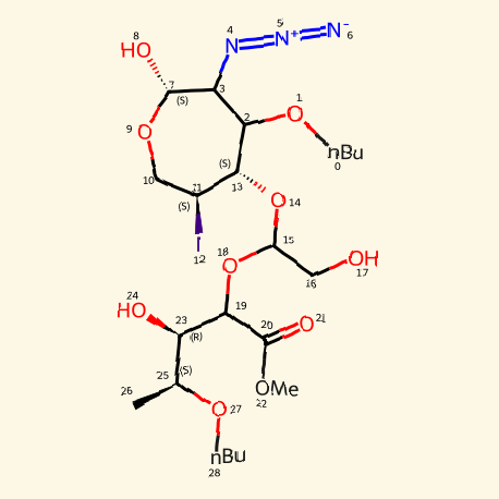 CCCCOC1C(N=[N+]=[N-])[C@@H](O)OC[C@H](I)[C@H]1OC(CO)OC(C(=O)OC)[C@H](O)[C@H](C)OCCCC